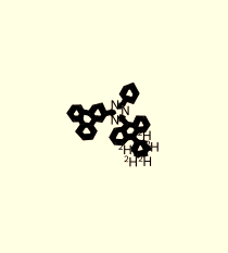 [2H]c1c([2H])c([2H])c(-c2c3ccccc3c(-c3nc(-c4ccccc4)nc(-c4ccc5c6ccccc6c6ccccc6c5c4)n3)c3ccccc23)c([2H])c1[2H]